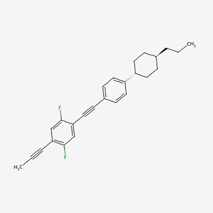 CC#Cc1cc(F)c(C#Cc2ccc([C@H]3CC[C@H](CCC)CC3)cc2)cc1F